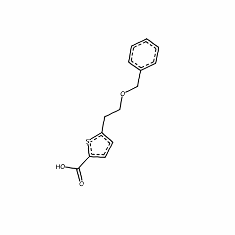 O=C(O)c1ccc(CCOCc2ccccc2)s1